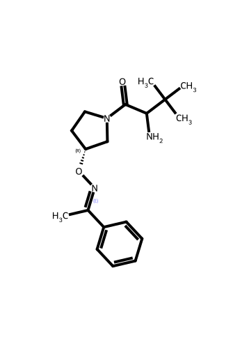 C/C(=N\O[C@@H]1CCN(C(=O)C(N)C(C)(C)C)C1)c1ccccc1